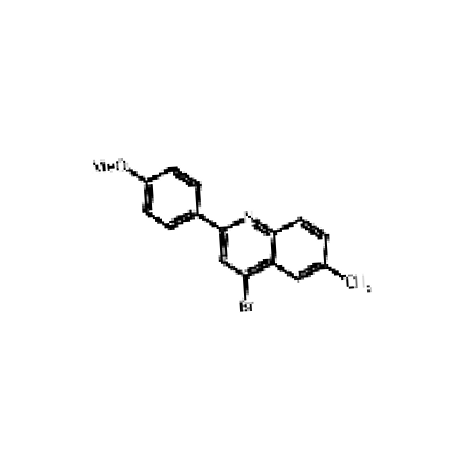 COc1ccc(-c2cc(Br)c3cc(C)ccc3n2)cc1